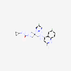 O=C(NC1CC1)N1CC(CNc2cc(C(F)(F)F)nc3ccc(Cl)cc23)(n2cc(F)cn2)C1